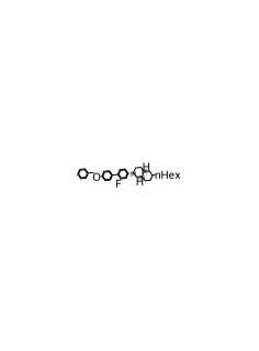 CCCCCCC1CC[C@@H]2C[C@H](c3ccc(-c4ccc(OCc5ccccc5)cc4)c(F)c3)CC[C@@H]2C1